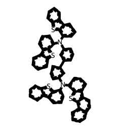 c1cc(-c2cccc(N(c3cccc4c3sc3ccccc34)c3cccc4c3sc3c5ccccc5ccc43)c2)cc(N(c2cccc3c2sc2ccccc23)c2cccc3c2sc2ccccc23)c1